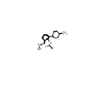 CCOCc1cccc(C2CCC(C(F)(F)F)CC2)c1OC(F)F